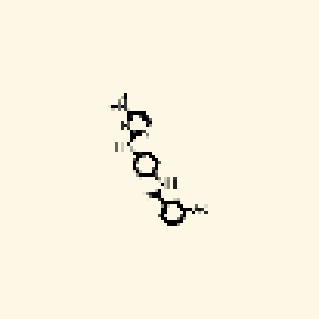 CC(=O)c1cccc(C(=O)NC2CCC(Nc3nccc(N(C)C)n3)CC2)c1